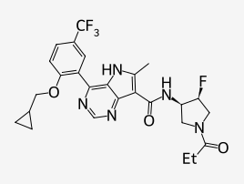 CCC(=O)N1C[C@H](F)[C@H](NC(=O)c2c(C)[nH]c3c(-c4cc(C(F)(F)F)ccc4OCC4CC4)ncnc23)C1